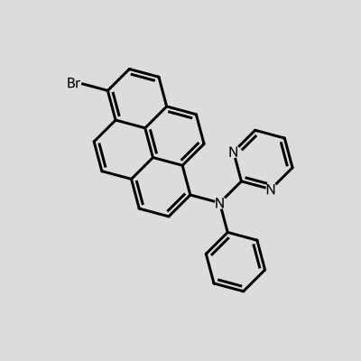 Brc1ccc2ccc3c(N(c4ccccc4)c4ncccn4)ccc4ccc1c2c43